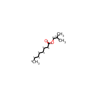 CCCCCC[CH]C(=O)OCC(C)C